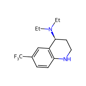 CCN(CC)[C@H]1CCNc2ccc(C(F)(F)F)cc21